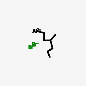 CCCC(C)C[CH2][Al+2].[Br-].[Br-]